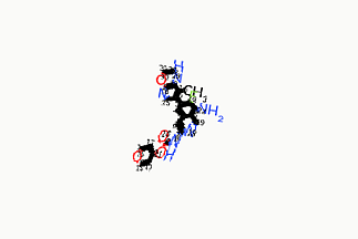 Cc1c(-c2cc3cc(NC(=O)OC4CCOCC4)ncc3c(N)c2F)cnc2c1NCCO2